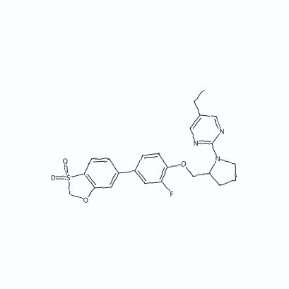 CCc1cnc(N2CCCC2COc2ccc(-c3ccc4c(c3)OCS4(=O)=O)cc2F)nc1